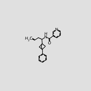 C=CCC(NC(=O)c1cccnc1)C12CC(c3ccccc3)(C1)C2